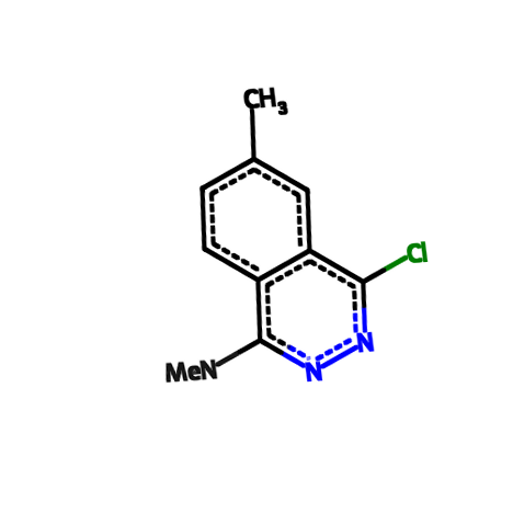 CNc1nnc(Cl)c2cc(C)ccc12